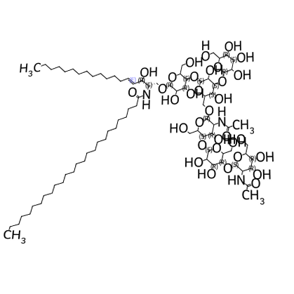 CCCCCCCCCCCCC/C=C/[C@@H](O)[C@H](CO[C@@H]1OC(CO)[C@@H](O[C@@H]2OC(CO[C@@H]3OC(CO)[C@@H](O[C@@H]4OC(CO)[C@H](O[C@@H]5OC(CO)[C@H](O)[C@H](O)C5NC(C)=O)[C@H](O)C4O)[C@H](O)C3NC(C)=O)[C@H](O)[C@H](O[C@H]3OC(CO)[C@H](O)[C@H](O)C3O)C2O)[C@H](O)C1O)NC(=O)CCCCCCCCCCCCCCCCCCCCCCCCC